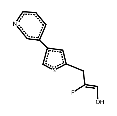 O/C=C(\F)Cc1cc(-c2cccnc2)cs1